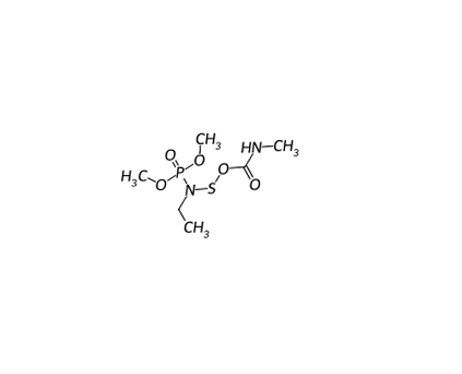 CCN(SOC(=O)NC)P(=O)(OC)OC